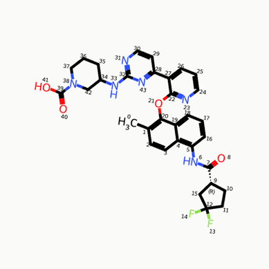 Cc1ccc2c(NC(=O)[C@@H]3CCC(F)(F)C3)cccc2c1Oc1ncccc1-c1ccnc(NC2CCCN(C(=O)O)C2)n1